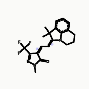 CN1N=C(C(F)(F)F)/C(=C/C=C2/N3CCCc4cccc(c43)C2(C)C)C1=O